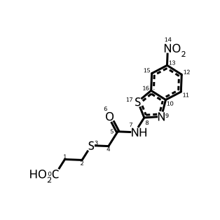 O=C(O)CCSCC(=O)Nc1nc2ccc([N+](=O)[O-])cc2s1